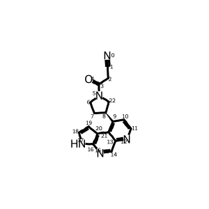 N#CCC(=O)N1CC[C@H](c2ccnc3cnc4[nH]ccc4c23)C1